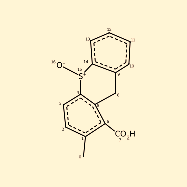 Cc1ccc2c(c1C(=O)O)Cc1ccccc1[S+]2[O-]